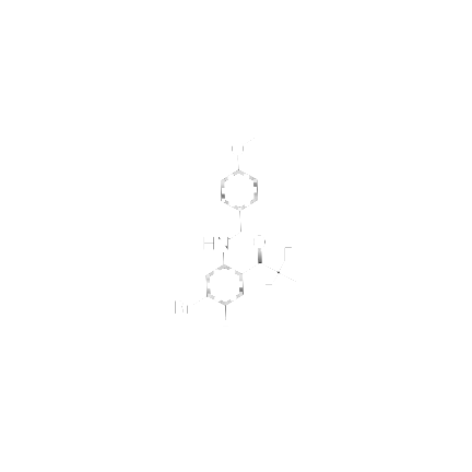 COc1ccc(CNc2cc(Br)c(F)cc2C(=O)C(C)(F)F)cc1